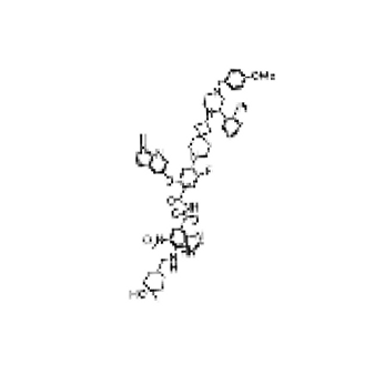 COc1ccc(CN2CCN(C3CC4(CCN(c5cc(Oc6cnc7[nH]ccc7c6)c(C(=O)NS(=O)(=O)c6cc([N+](=O)[O-])c(NCC7CCC(C)(O)CC7)c7[nH]cnc67)cc5F)CC4)C3)C(c3ccccc3C(C)C)C2)cc1